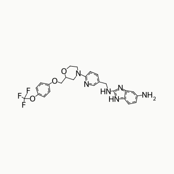 Nc1ccc2[nH]c(NCc3ccc(N4CCOC(COc5ccc(OC(F)(F)F)cc5)C4)nc3)nc2c1